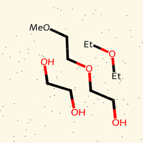 CCOCC.COCCOCCO.OCCO